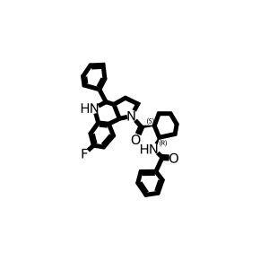 O=C(N[C@@H]1CCCC[C@@H]1C(=O)N1CCC2C(c3ccccc3)Nc3cc(F)ccc3C21)c1ccccc1